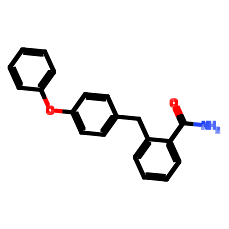 NC(=O)c1ccccc1Cc1ccc(Oc2ccccc2)cc1